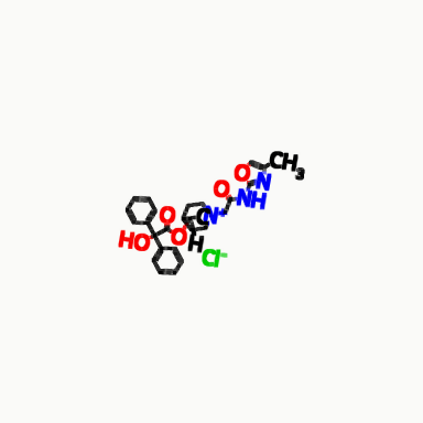 Cc1coc(NC(=O)C[N+]23CCC(CC2)[C@@H](OC(=O)C(O)(c2ccccc2)c2ccccc2)C3)n1.[Cl-]